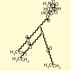 CC(C)CCCCCCCOC(=O)CCCCCCCCN(CCCCCCCCC(=O)OCCCCCCCC(C)C)CCCN(CCCCCCCCC(=O)OCCCCCCCC(C)C)CCCCCC(=O)OC[C@@H]1O[C@H](n2c(=O)[nH]c3c(=O)[nH]c(N)nc32)C(O)C1O